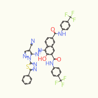 N#Cc1cnn(-c2nnc(-c3ccccc3)s2)c1/N=N/c1c(O)c(C(=O)Nc2ccc(C(F)(F)F)cc2)cc2cc(C(=O)Nc3ccc(C(F)(F)F)cc3)ccc12